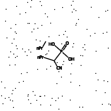 CCCC.CCCC(C#N)P(=O)(O)O